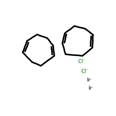 C1=C\CC/C=C\CC/1.C1=C\CC/C=C\CC/1.[Cl-].[Cl-].[Ir].[Ir]